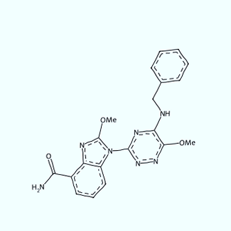 COc1nnc(-n2c(OC)nc3c(C(N)=O)cccc32)nc1NCc1ccccc1